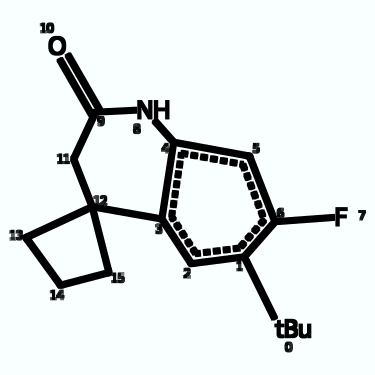 CC(C)(C)c1cc2c(cc1F)NC(=O)CC21CCC1